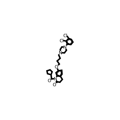 O=C1CCc2ccc(OCCCCN3CCN(c4cccc(Cl)c4Cl)CC3)cc2N1C(=O)C1CCCC1